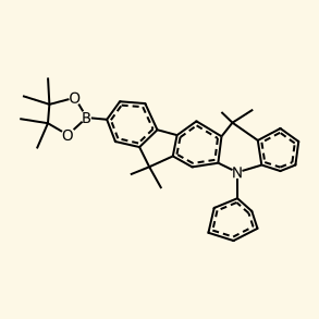 CC1(C)c2cc(B3OC(C)(C)C(C)(C)O3)ccc2-c2cc3c(cc21)N(c1ccccc1)c1ccccc1C3(C)C